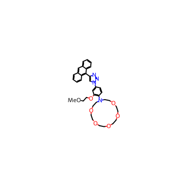 COCCOc1cc(-n2cc(-c3c4ccccc4cc4ccccc34)nn2)ccc1N1CCOCCOCCOCCOCCOCC1